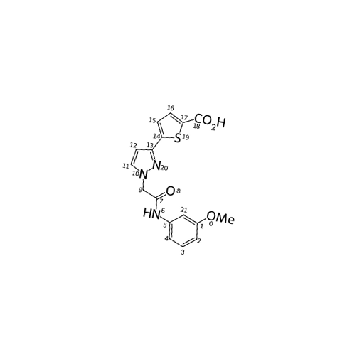 COc1cccc(NC(=O)Cn2ccc(-c3ccc(C(=O)O)s3)n2)c1